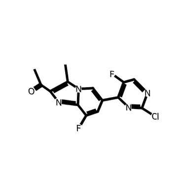 CC(=O)c1nc2c(F)cc(-c3nc(Cl)ncc3F)cn2c1C